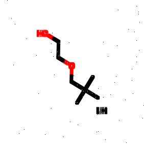 CC(C)(C)COCCO.[LiH]